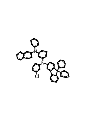 Clc1cccc(N(c2cccc(N(c3ccccc3)c3ccc4ccccc4c3)c2)c2ccc3c(c2)-c2ccccc2C3(c2ccccc2)c2ccccc2)c1